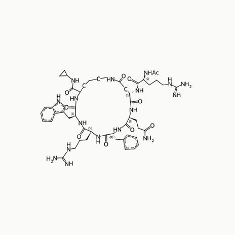 CC(=O)N[C@@H](CCCNC(=N)N)C(=O)N[C@H]1CC(=O)NCCCCC(C(=O)NC2CC2)NC(=O)[C@H](Cc2c[nH]c3ccccc23)NC(=O)[C@H](CCCNC(=N)N)NC(=O)[C@@H](Cc2ccccc2)NC(=O)[C@H](CCC(N)=O)NC1=O